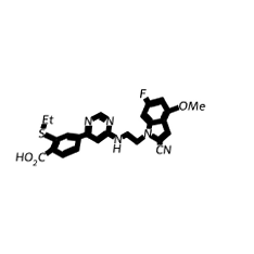 CCSc1cc(-c2cc(NCCn3c(C#N)cc4c(OC)cc(F)cc43)ncn2)ccc1C(=O)O